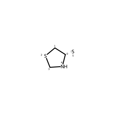 C1CSCN1.[S]